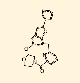 O=C(c1cccc(Cc2cc(Cl)cc3cc(-c4ccccc4)oc23)n1)N1CCOCC1